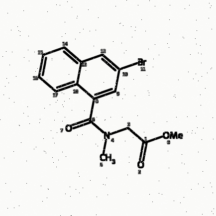 COC(=O)CN(C)C(=O)c1cc(Br)cc2ccccc12